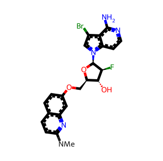 CNc1ccc2ccc(OC[C@H]3O[C@@H](n4cc(Br)c5c(N)nccc54)[C@@H](F)[C@@H]3O)cc2n1